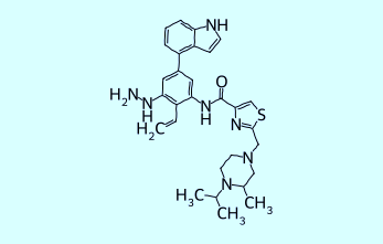 C=Cc1c(NN)cc(-c2cccc3[nH]ccc23)cc1NC(=O)c1csc(CN2CCN(C(C)C)C(C)C2)n1